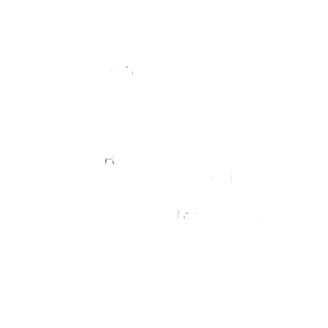 CC(C)(N)[C@@H]1CC[C@@]2(O)[C@H]3Cc4ccc(O)c5c4[C@@]2(CCN3CC2CC2)[C@H]1O5